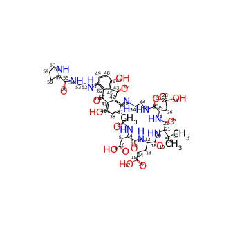 CC(=O)NC(CC(=O)O)C(=O)NC(CCC(=O)O)C(=O)NC(C(=O)NC(CC(=O)O)C(=O)NCCNc1ccc(O)c2c1C(=O)c1c(O)ccc(NCCNC(=O)C3CCCN3)c1C2=O)C(C)C